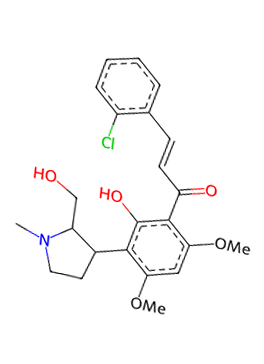 COc1cc(OC)c(C2CCN(C)C2CO)c(O)c1C(=O)/C=C/c1ccccc1Cl